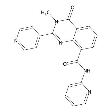 Cn1c(-c2ccncc2)nc2c(C(=O)Nc3ccccn3)cccc2c1=O